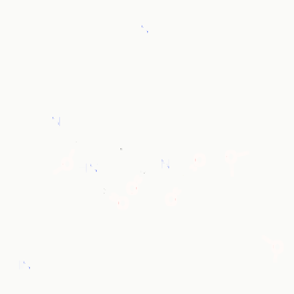 CCOc1ncccc1C1(NC(=O)C2CC3(CNC3)C2)C(=O)N(S(=O)(=O)c2ccc(OC)cc2OC)c2ccc(C#N)cc21